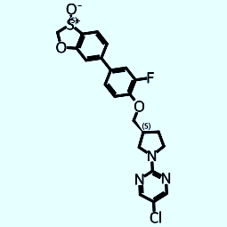 [O-][S@@+]1COc2cc(-c3ccc(OC[C@H]4CCN(c5ncc(Cl)cn5)C4)c(F)c3)ccc21